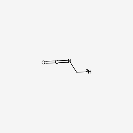 [2H]CN=C=O